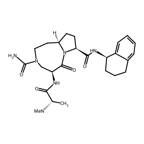 CN[C@@H](C)C(=O)N[C@H]1CN(C(N)=O)CC[C@H]2CC[C@@H](C(=O)N[C@@H]3CCCc4ccccc43)N2C1=O